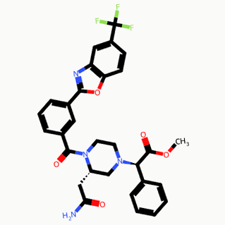 COC(=O)[C@@H](c1ccccc1)N1CCN(C(=O)c2cccc(-c3nc4cc(C(F)(F)F)ccc4o3)c2)[C@@H](CC(N)=O)C1